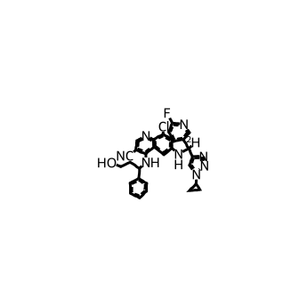 [2H]C(Nc1cc(Cl)c2ncc(C#N)c(NC(CCO)c3ccccc3)c2c1)(c1ccc(F)nc1)c1cn(C2CC2)nn1